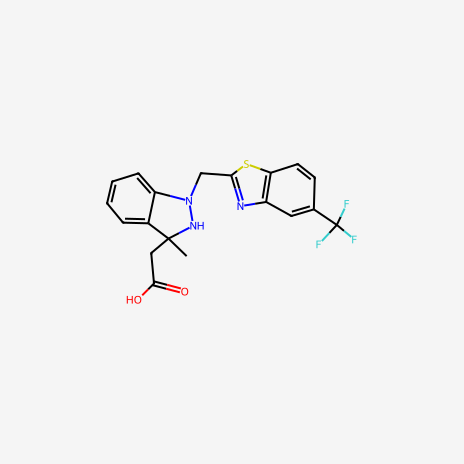 CC1(CC(=O)O)NN(Cc2nc3cc(C(F)(F)F)ccc3s2)c2ccccc21